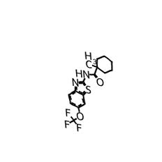 CC1(C(=O)Nc2nc3ccc(OC(F)(F)F)cc3s2)CCCCC1